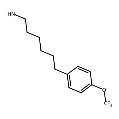 [NH]CCCCCCc1ccc(OC(F)(F)F)cc1